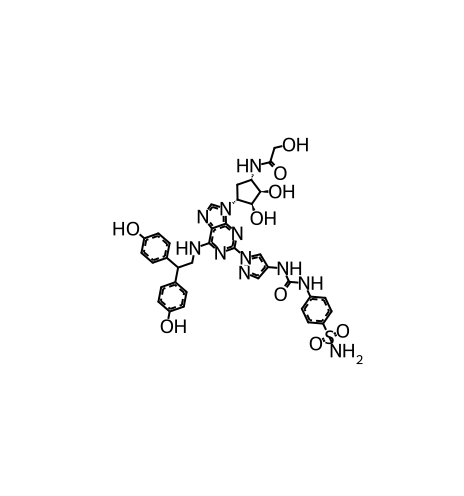 NS(=O)(=O)c1ccc(NC(=O)Nc2cnn(-c3nc(NCC(c4ccc(O)cc4)c4ccc(O)cc4)c4ncn([C@@H]5C[C@H](NC(=O)CO)[C@@H](O)[C@H]5O)c4n3)c2)cc1